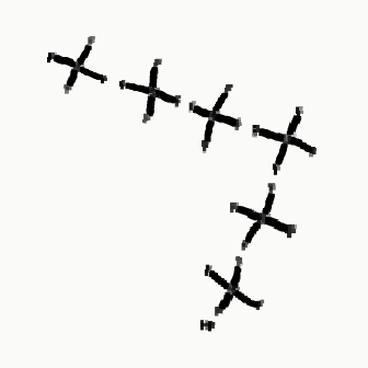 F.F[B-](F)(F)F.F[B-](F)(F)F.F[B-](F)(F)F.F[B-](F)(F)F.F[B-](F)(F)F.F[B-](F)(F)F